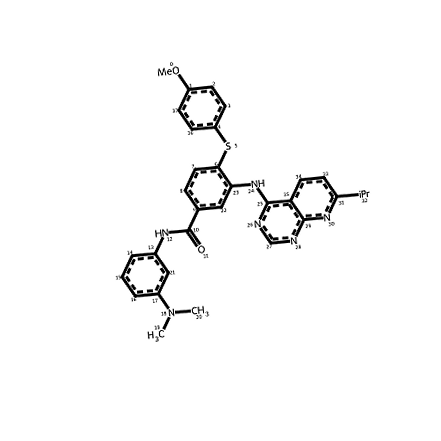 COc1ccc(Sc2ccc(C(=O)Nc3cccc(N(C)C)c3)cc2Nc2ncnc3nc(C(C)C)ccc23)cc1